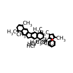 Cl.Cl.[CH2]=[Zr]([CH3])([C]1=CC(C)=CC1C)([c]1ccccc1)[CH]1C=C(C)c2cc3c(cc2C1(C)C)Cc1cc2c(cc1-3)C(C)=CCC2(C)C